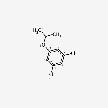 CC(C)Oc1cc(Cl)cc(Cl)c1